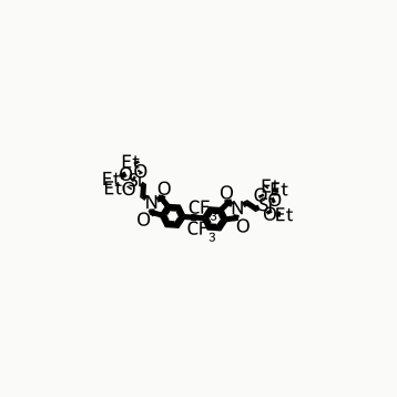 CCO[Si](CCN1C(=O)c2ccc(C(c3ccc4c(c3)C(=O)N(CC[Si](OCC)(OCC)OCC)C4=O)(C(F)(F)F)C(F)(F)F)cc2C1=O)(OCC)OCC